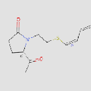 C=C/C=C\SCCN1C(=O)CC[C@H]1C(C)=O